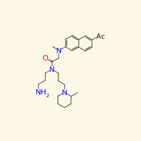 CC(=O)c1ccc2cc(N(C)CC(=O)N(CCCN)CCCN3CCCCC3C)ccc2c1